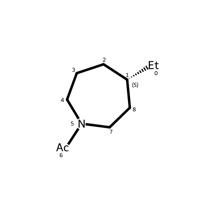 CC[C@H]1CCCN(C(C)=O)CC1